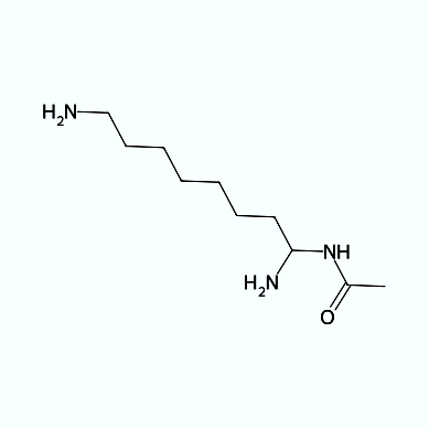 CC(=O)NC(N)CCCCCCCN